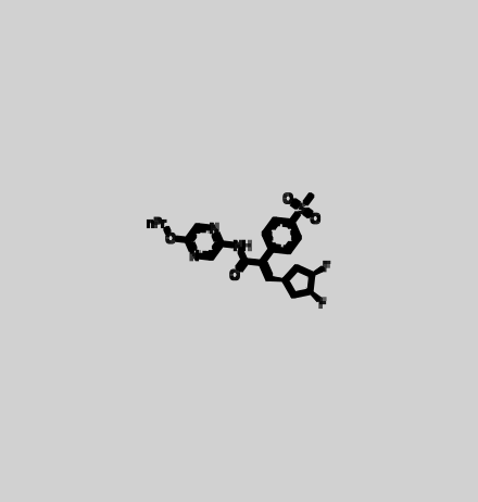 CCCOc1cnc(NC(=O)/C(=C/[C@H]2C[C@@H](F)[C@@H](F)C2)c2ccc(S(C)(=O)=O)cc2)cn1